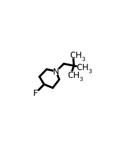 CC(C)(C)CN1CCC(F)CC1